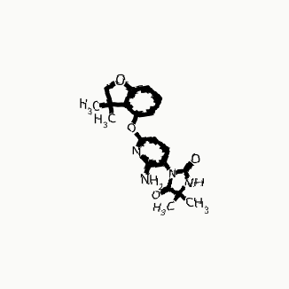 CC1(C)NC(=O)N(c2ccc(Oc3cccc4c3C(C)(C)CO4)nc2N)C1=O